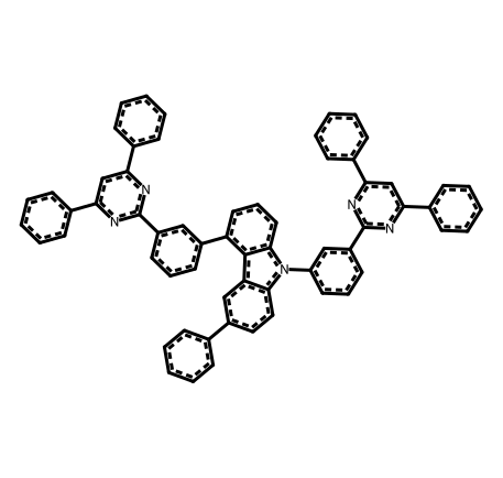 c1ccc(-c2ccc3c(c2)c2c(-c4cccc(-c5nc(-c6ccccc6)cc(-c6ccccc6)n5)c4)cccc2n3-c2cccc(-c3nc(-c4ccccc4)cc(-c4ccccc4)n3)c2)cc1